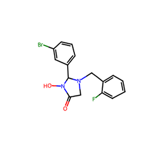 O=C1CN(Cc2ccccc2F)C(c2cccc(Br)c2)N1O